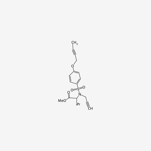 C#CCN(C(C(=O)OC)C(C)C)S(=O)(=O)c1ccc(OCC#CC)cc1